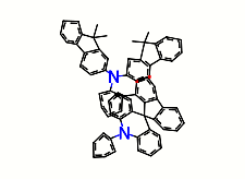 CC1(C)c2ccccc2-c2ccc(N(c3ccc4c(c3)C(C)(C)c3ccccc3-4)c3ccccc3-c3cccc4c3C3(c5ccccc5-4)c4ccccc4N(c4ccccc4)c4ccccc43)cc21